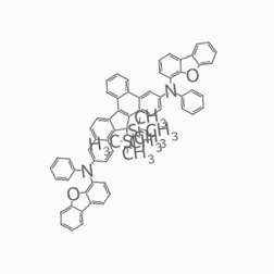 C[Si](C)(C)C1([Si](C)(C)C)c2c(ccc3cc(N(c4ccccc4)c4cccc5c4oc4ccccc45)ccc23)-c2c1c1ccc(N(c3ccccc3)c3cccc4c3oc3ccccc34)cc1c1ccccc21